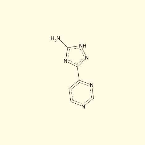 Nc1nc(-c2ccncn2)n[nH]1